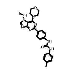 Cc1ccc(NC(=O)Nc2ccc(-c3nc(N4CCOCC4)c4c(ncn4PI)n3)cc2)cc1